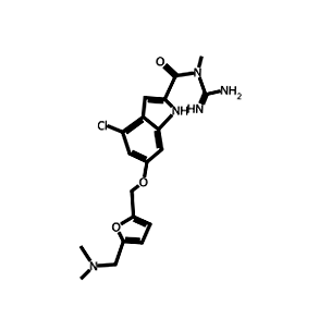 CN(C)Cc1ccc(COc2cc(Cl)c3cc(C(=O)N(C)C(=N)N)[nH]c3c2)o1